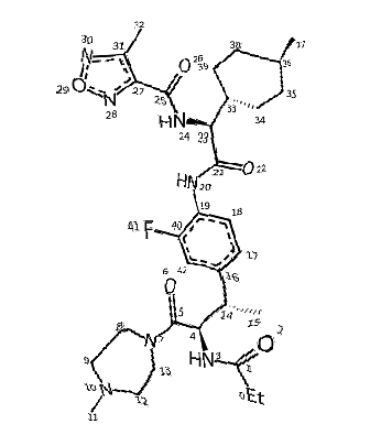 CCC(=O)N[C@@H](C(=O)N1CCN(C)CC1)[C@@H](C)c1ccc(NC(=O)[C@@H](NC(=O)c2nonc2C)[C@H]2CC[C@H](C)CC2)c(F)c1